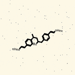 CCCCCCC=Cc1ccc(CC([CH]C(C)c2ccc(C=CCCCCCC)cc2)CCCC)cc1